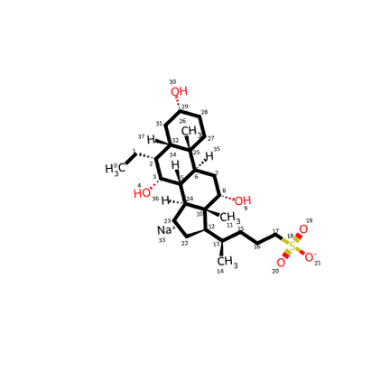 CC[C@H]1[C@@H](O)[C@@H]2[C@H](C[C@H](O)[C@]3(C)[C@@H]([C@H](C)CCCS(=O)(=O)[O-])CC[C@@H]23)[C@@]2(C)CC[C@@H](O)C[C@@H]12.[Na+]